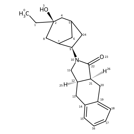 CC[C@]1(O)CC2CC(C1)[C@H](N1C[C@@H]3Cc4ccccc4C[C@@H]3C1=O)C2